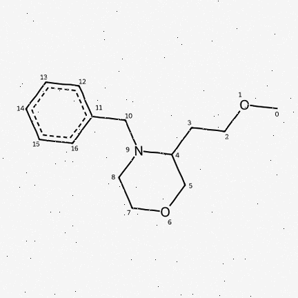 COCCC1COCCN1Cc1ccccc1